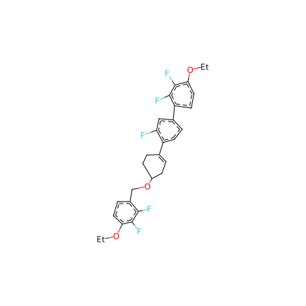 CCOc1ccc(COC2CC=C(c3ccc(-c4ccc(OCC)c(F)c4F)cc3F)CC2)c(F)c1F